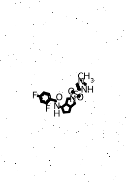 CN1C=C(S(=O)(=O)N2CC3CCC(NC(=O)c4ccc(F)cc4F)C3C2)NC1